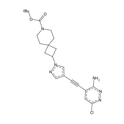 CC(C)(C)OC(=O)N1CCC2(CC1)CC(n1cc(C#Cc3cc(Cl)nnc3N)cn1)C2